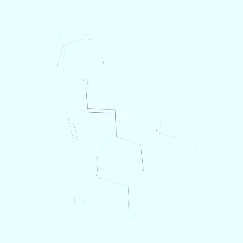 Cc1cn(-c2ccc3c(c2)C(NC(=O)O)CC(C)N3C(C)(C)C)cn1